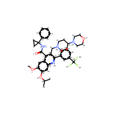 COc1cc2c(C(=O)NC3(c4ccccc4)CC3)c(CN3CCC(N4CCOCC4)CC3)c(-c3cccc(C(F)(F)F)c3)nc2cc1OC(C)C